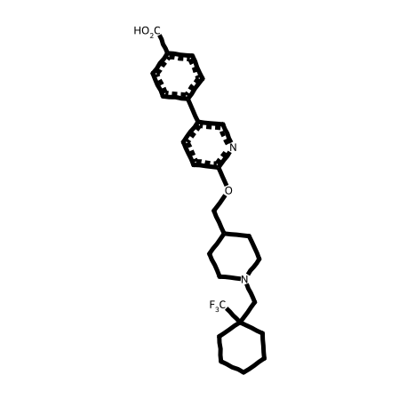 O=C(O)c1ccc(-c2ccc(OCC3CCN(CC4(C(F)(F)F)CCCCC4)CC3)nc2)cc1